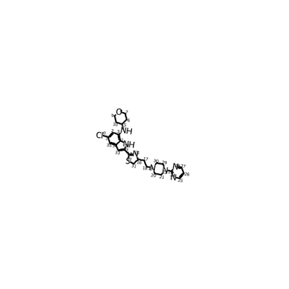 Clc1cc(NC2CCOCC2)c2[nH]c(C3=NC(CCN4CCN(c5ncccn5)CC4)CS3)cc2c1